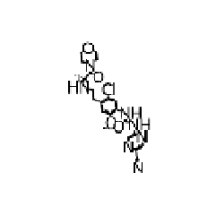 COc1cc(CCN[C@H](C)C(=O)N2CCOCC2)c(Cl)cc1NC(=O)Nc1cnc(C#N)cn1